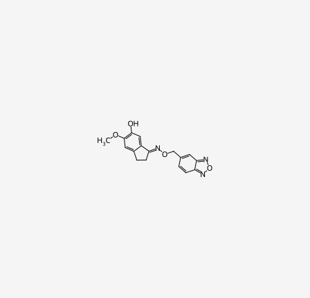 COc1cc2c(cc1O)/C(=N/OCc1ccc3nonc3c1)CC2